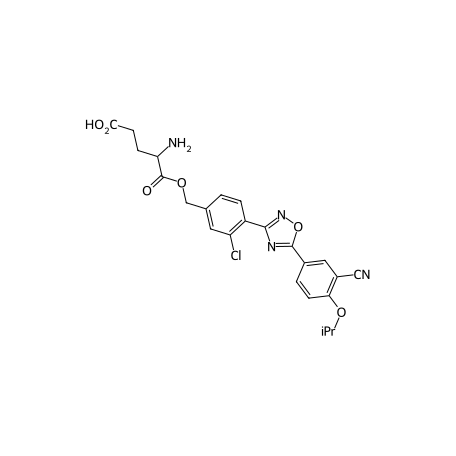 CC(C)Oc1ccc(-c2nc(-c3ccc(COC(=O)C(N)CCC(=O)O)cc3Cl)no2)cc1C#N